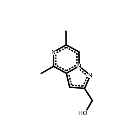 Cc1cn2nc(CO)cc2c(C)n1